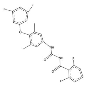 Cc1cc(NC(=O)NC(=O)c2c(F)cccc2F)cc(C)c1Oc1cc(F)cc(F)c1